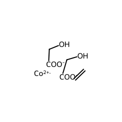 C=C.O=C([O-])CO.O=C([O-])CO.[Co+2]